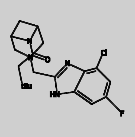 CC(C)(C)CC(=O)N1C2CC1CN(Cc1nc3c(Cl)cc(F)cc3[nH]1)C2